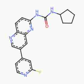 O=C(Nc1ccc2ncc(-c3ccnc(F)c3)cc2n1)NC1CCCC1